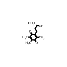 CC1=C(C)C(=O)C(CC[C@@H](O)C(=O)O)=C(C)C1=O